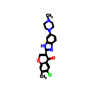 Cc1cc2occ(-c3nc4ccc(N5CCN(C)CC5)cc4[nH]3)c(=O)c2cc1Cl